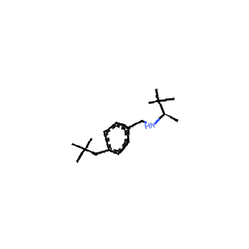 C[C@@H](NCc1ccc(CC(C)(C)C)cc1)C(C)(C)C